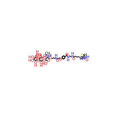 CC(=O)N[C@H]1[C@H](OCCCNC(=O)COc2ccc(C(=O)NCCNC(=O)CCCC[C@@H]3SC[C@@H]4NC(=O)N[C@@H]43)cc2)O[C@H](CO)[C@@H](O[C@@H]2O[C@H](CO)[C@H](O)[C@H](O[C@H]3O[C@H](CO)[C@H](O)[C@H](O)[C@H]3O)[C@H]2O)[C@@H]1O